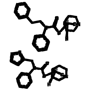 O=C(O[C@H]1CN2CCC1CC2)N(CCc1ccccc1)c1ccccc1.O=C(O[C@H]1CN2CCC1CC2)N(Cc1cccs1)c1ccccc1